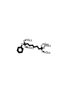 CCCCCCCCSC(CCCCCCC(SCCCCCCCC)(SCCCCCCCC)SCCCCCCCC)(Oc1ccccc1)SCCCCCCCC